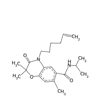 C=CCCCCN1C(=O)C(C)(C)Oc2cc(C)c(C(=O)NC(C)C)cc21